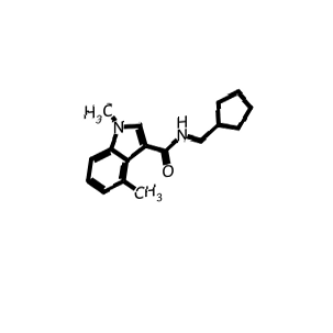 Cc1cccc2c1c(C(=O)NCC1CCCC1)cn2C